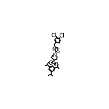 CC(C)c1cc(C(C)C)c(S(=O)(=O)C2CCN(c3nc(Cc4ccc(Cl)c(Cl)c4)cs3)CC2)c(C(C)C)c1